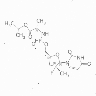 CC(C)OC(=O)[C@H](C)N[PH](=O)OC[C@@H]1C[C@@](C)(F)[C@H](n2ccc(=O)[nH]c2=O)O1